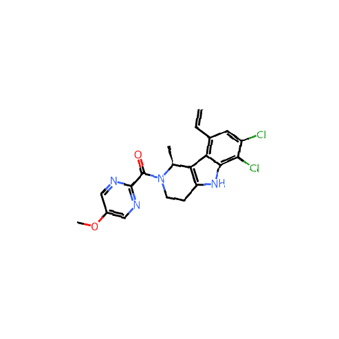 C=Cc1cc(Cl)c(Cl)c2[nH]c3c(c12)[C@H](C)N(C(=O)c1ncc(OC)cn1)CC3